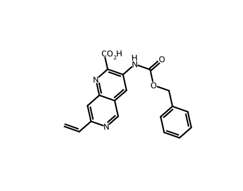 C=Cc1cc2nc(C(=O)O)c(NC(=O)OCc3ccccc3)cc2cn1